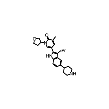 Cc1cc(-c2[nH]c3ccc(C4CCNCC4)cc3c2C(C)C)cn(C2CCOC2)c1=O